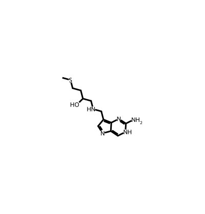 CSCCC(O)CNCc1cnc2c[nH]c(N)nc1-2